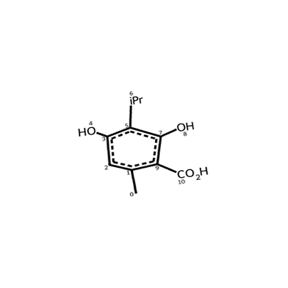 Cc1cc(O)c(C(C)C)c(O)c1C(=O)O